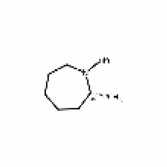 [CH2]CCN1CCCCC[C@H]1C